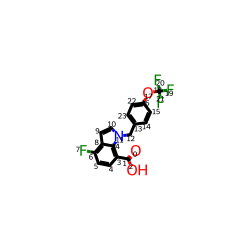 O=C(O)c1ccc(F)c2ccn(Cc3ccc(OC(F)(F)F)cc3)c12